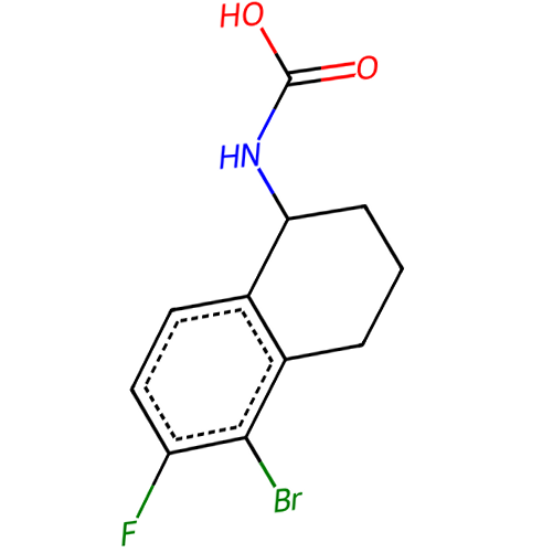 O=C(O)NC1CCCc2c1ccc(F)c2Br